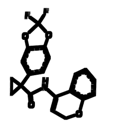 O=C(NC1=CCOc2ccccc21)C1(c2ccc3c(c2)OC(F)(F)O3)CC1